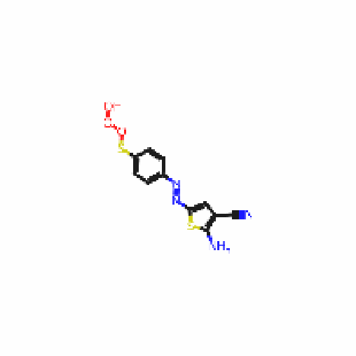 N#Cc1cc(N=Nc2ccc(SOOO)cc2)sc1N